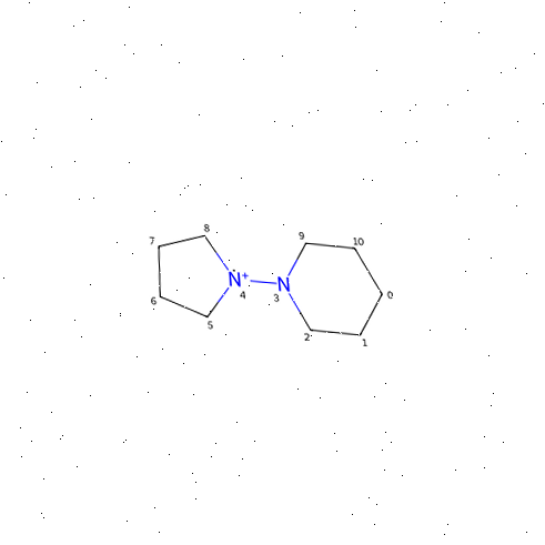 C1CCN([N+]2CCCC2)CC1